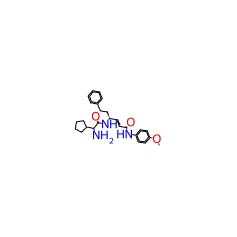 COc1ccc(NC(=O)C=C[C@H](CCc2ccccc2)NC(=O)[C@@H](N)C2CCCC2)cc1